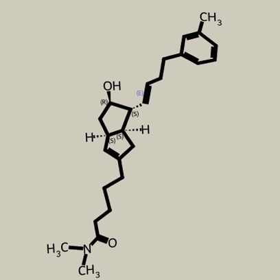 Cc1cccc(CC/C=C/[C@@H]2[C@H]3CC(CCCCC(=O)N(C)C)=C[C@H]3C[C@H]2O)c1